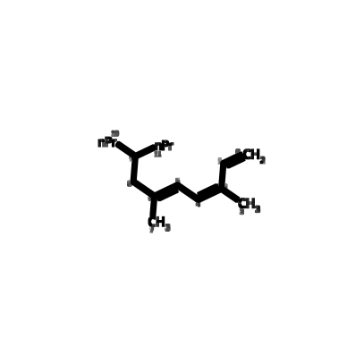 C=C/C(C)=C\C=C(/C)CC(CCC)CCC